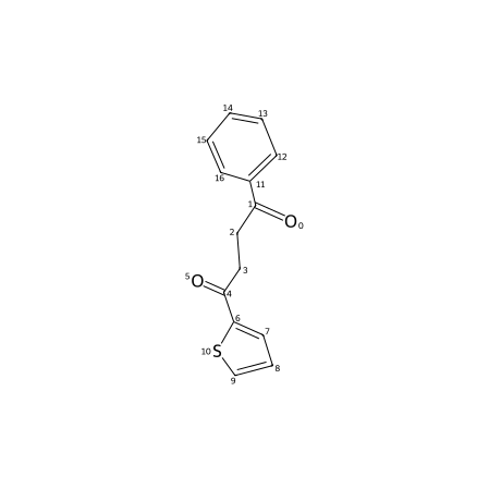 O=C(CCC(=O)c1cccs1)c1ccccc1